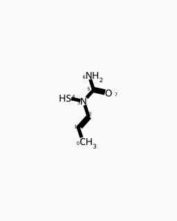 CC=CN(S)C(N)=O